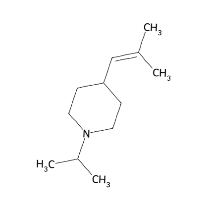 CC(C)=CC1CCN(C(C)C)CC1